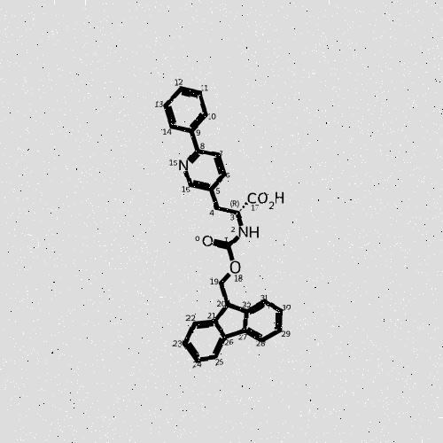 O=C(N[C@H](Cc1ccc(-c2ccccc2)nc1)C(=O)O)OCC1c2ccccc2-c2ccccc21